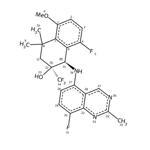 COc1ccc(F)c2c1C(C)(C)C[C@@](O)(C(F)(F)F)[C@@H]2Nc1ccc(F)c2nc(C)ncc12